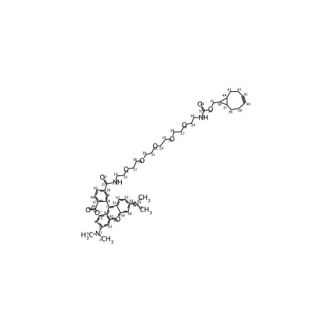 CN(C)c1ccc2c(-c3cc(C(=O)NCCOCCOCCOCCOCCOCCNC(=O)OCC4C5CCC#CCCC54)ccc3C(=O)[O-])c3ccc(=[N+](C)C)cc-3oc2c1